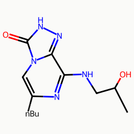 CCCCc1cn2c(=O)[nH]nc2c(NCC(C)O)n1